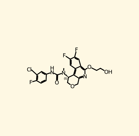 CN(C(=O)Nc1ccc(F)c(Cl)c1)[C@@H]1COCc2nc(OCCO)c3cc(F)c(F)cc3c21